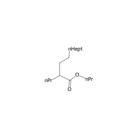 CCCCCCCCCC(CCC)C(=O)OCCC